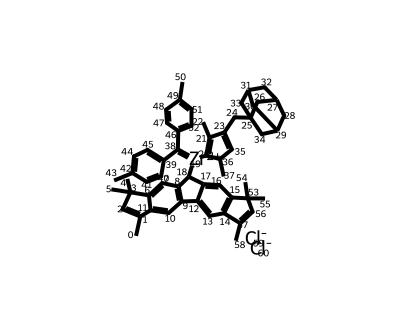 CC1=CC(C)(C)c2cc3c(cc21)-c1cc2c(cc1[CH]3[Zr+2]([C]1=C(C)C(CC34CC5CC(CC(C5)C3)C4)=CC1C)=[C](c1ccc(C)cc1)c1ccc(C)cc1)C(C)(C)C=C2C.[Cl-].[Cl-]